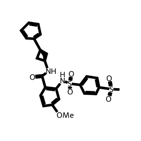 COc1ccc(C(=O)NC23CC(c4ccccc4)(C2)C3)c(NS(=O)(=O)c2ccc(S(C)(=O)=O)cc2)c1